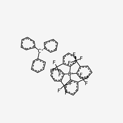 FC(F)(F)c1ccccc1[B-](c1ccccc1C(F)(F)F)(c1ccccc1C(F)(F)F)c1ccccc1C(F)(F)F.c1ccc([C+](c2ccccc2)c2ccccc2)cc1